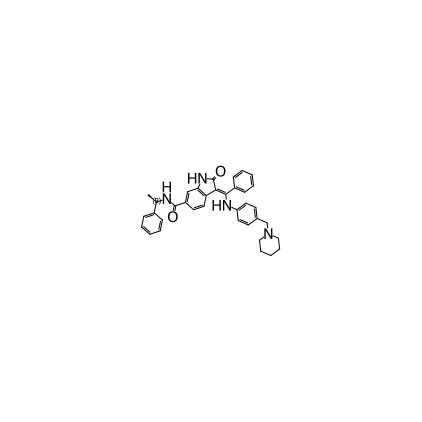 C[C@@H](NC(=O)c1ccc2c(c1)NC(=O)C2=C(Nc1ccc(CN2CCCCC2)cc1)c1ccccc1)c1ccccc1